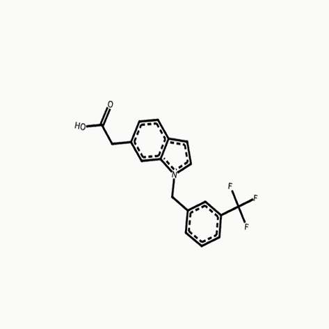 O=C(O)Cc1ccc2ccn(Cc3cccc(C(F)(F)F)c3)c2c1